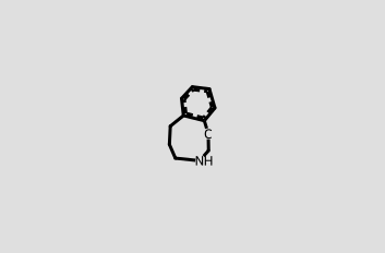 c1ccc2c(c1)CCCNCC2